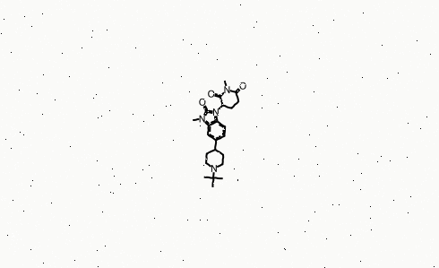 CN1C(=O)CCC(n2c(=O)n(C)c3cc(C4CCN(C(C)(C)C)CC4)ccc32)C1=O